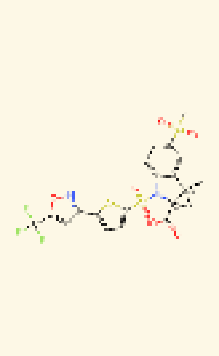 C[C@@]1(c2cccc(S(C)(=O)=O)c2)C[C@]1(NS(=O)(=O)c1ccc(-c2cc(C(F)(F)F)on2)s1)C(=O)O